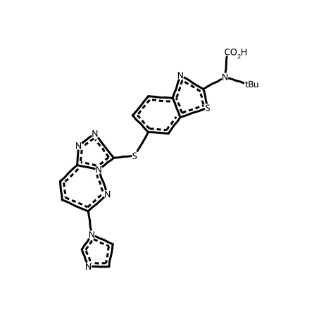 CC(C)(C)N(C(=O)O)c1nc2ccc(Sc3nnc4ccc(-n5ccnc5)nn34)cc2s1